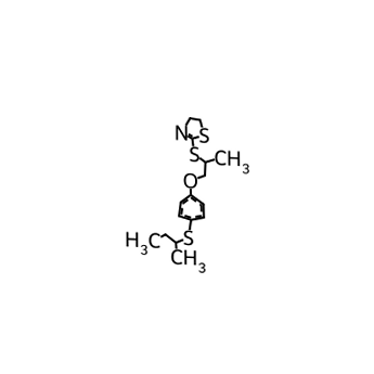 CCC(C)Sc1ccc(OCC(C)SC2=NCCS2)cc1